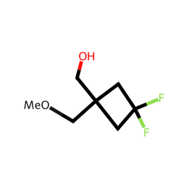 COCC1(CO)CC(F)(F)C1